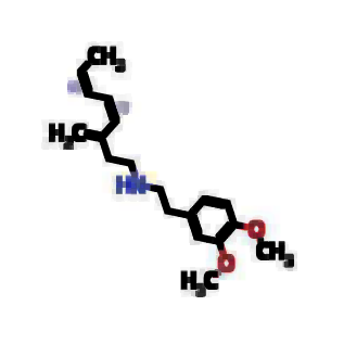 C=C(/C=C\C=C/C)CCNCCc1ccc(OC)c(OC)c1